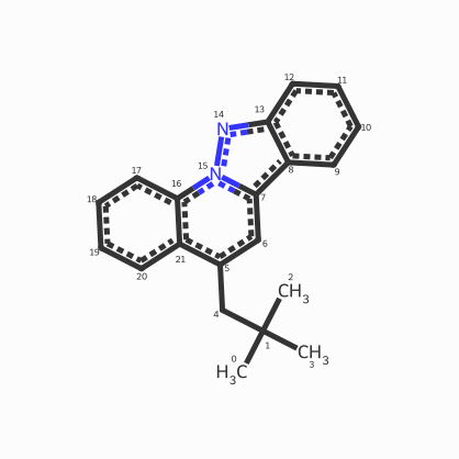 CC(C)(C)Cc1cc2c3ccccc3nn2c2ccccc12